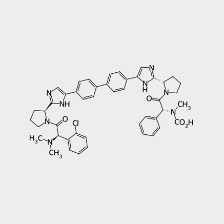 CN(C)[C@@H](C(=O)N1CCC[C@H]1c1ncc(-c2ccc(-c3ccc(-c4cnc([C@@H]5CCCN5C(=O)[C@@H](c5ccccc5)N(C)C(=O)O)[nH]4)cc3)cc2)[nH]1)c1ccccc1Cl